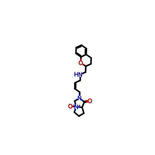 O=C1C2CCC[N+]2([O-])CN1C/C=C\CNCC1CCc2ccccc2O1